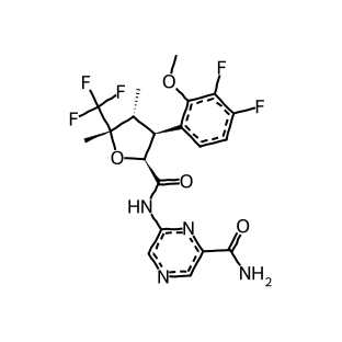 COc1c([C@H]2[C@@H](C(=O)Nc3cncc(C(N)=O)n3)O[C@](C)(C(F)(F)F)[C@@H]2C)ccc(F)c1F